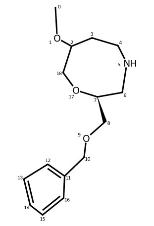 COC1CCNC[C@@H](COCc2ccccc2)OC1